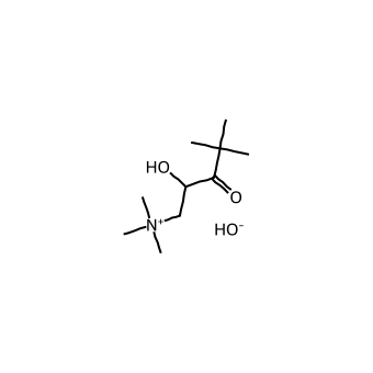 CC(C)(C)C(=O)C(O)C[N+](C)(C)C.[OH-]